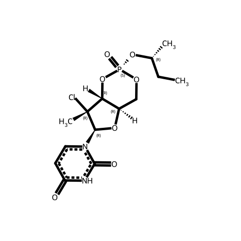 CC[C@@H](C)O[P@]1(=O)OC[C@H]2O[C@@H](n3ccc(=O)[nH]c3=O)[C@](C)(Cl)[C@@H]2O1